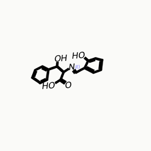 O=C(O)C(/N=C/c1ccccc1O)C(O)c1ccccc1